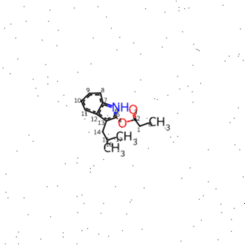 CCC(=O)Oc1[nH]c2ccccc2c1CC(C)C